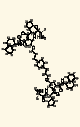 CN[C@@H](C)C(=O)N[C@H](C(=O)N1C[C@@H](OCCCN2CCN(CCCO[C@H]3C[C@@H](C(=O)N[C@@H]4CCCc5ccccc54)N(C(=O)[C@@H](NC(=O)[C@H](C)NC)C4CCCC4)C3)CC2)C[C@H]1C(=O)N[C@@H]1CCCc2ccccc21)C1CCCC1